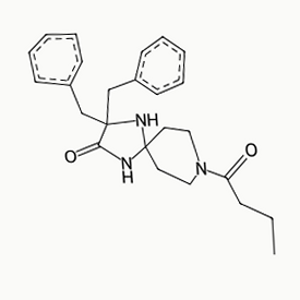 CCCC(=O)N1CCC2(CC1)NC(=O)C(Cc1ccccc1)(Cc1ccccc1)N2